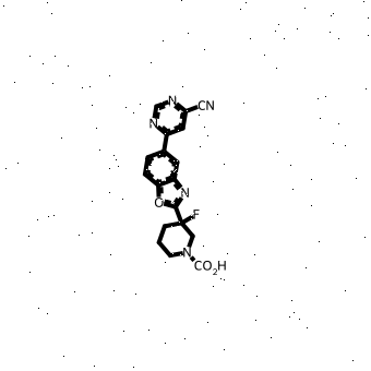 N#Cc1cc(-c2ccc3oc(C4(F)CCCN(C(=O)O)C4)nc3c2)ncn1